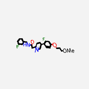 COCCCOc1ccc(-c2ccc(CC(=O)NCc3cccc(F)c3)nc2)c(F)c1